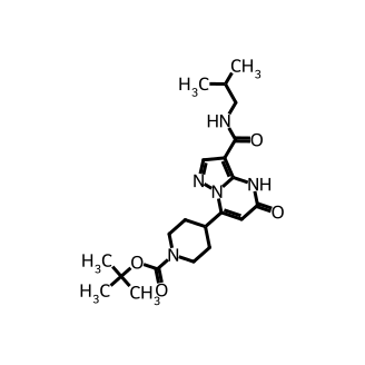 CC(C)CNC(=O)c1cnn2c(C3CCN(C(=O)OC(C)(C)C)CC3)cc(=O)[nH]c12